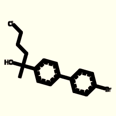 CC(O)(CCCCl)c1ccc(-c2ccc(Br)cc2)cc1